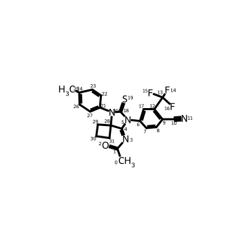 CC(=O)/N=C1/N(c2ccc(C#N)c(C(F)(F)F)c2)C(=S)N(c2ccc(C)cc2)C12CCC2